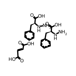 NN[C@@H](Cc1ccccc1)C(=O)O.NN[C@@H](Cc1ccccc1)C(=O)O.O=C(O)/C=C/C(=O)O